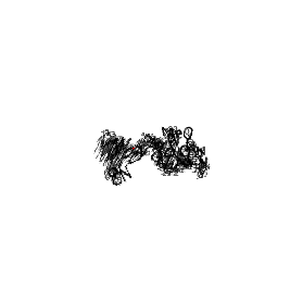 COCCN1Cc2ncc(-c3nc4c(cc3-c3cnn(CC5(C)CCCC5C5(C)c6ncc(-c7nc8c(cc7-c7cnn(CC9(C)CCCC9CC9(C)c%10ccc(-c%11nc(C#N)ccc%11-c%11cnn(CC%12(C)CCCC%12)c%11)cc%10C(=O)N9C)c7)CCC8)cc6C(=O)N5C)c3)CCC4)cc2C1=O